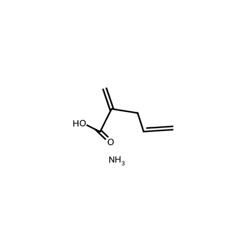 C=CCC(=C)C(=O)O.N